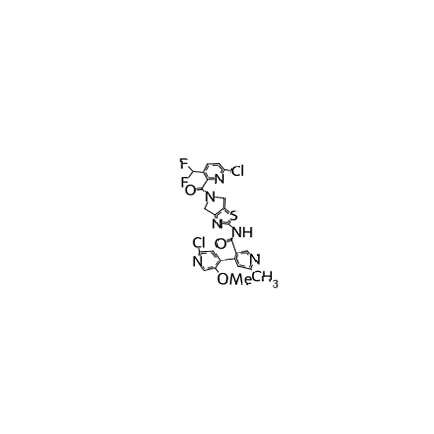 COc1cnc(Cl)cc1-c1cc(C)ncc1C(=O)Nc1nc2c(s1)CN(C(=O)c1nc(Cl)ccc1C(F)F)C2